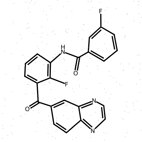 O=C(Nc1cccc(C(=O)c2ccc3nccnc3c2)c1F)c1cccc(F)c1